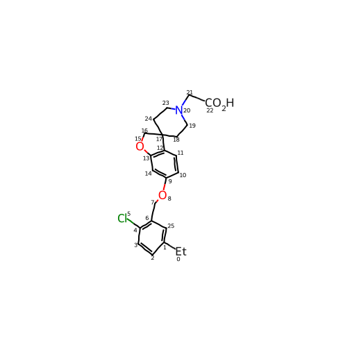 CCc1ccc(Cl)c(COc2ccc3c(c2)OCC32CCN(CC(=O)O)CC2)c1